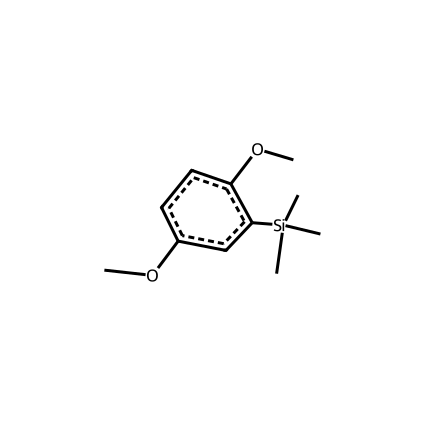 COc1ccc(OC)c([Si](C)(C)C)c1